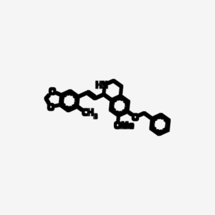 COc1cc2c(cc1OCc1ccccc1)CCNC2/C=C/c1cc2c(cc1C)OCO2